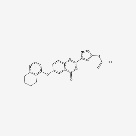 O=C(O)Oc1cnn(-c2nc3ccc(Oc4cccc5c4CCCC5)cc3c(=O)[nH]2)c1